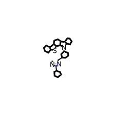 C=N/C(=N\Cc1cccc(-n2c3ccccc3c3ccc4c5ccccc5sc4c32)c1)c1ccccc1